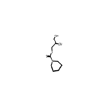 OCC(O)CSC(=S)N1CCCCC1